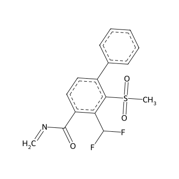 C=NC(=O)c1ccc(-c2ccccc2)c(S(C)(=O)=O)c1C(F)F